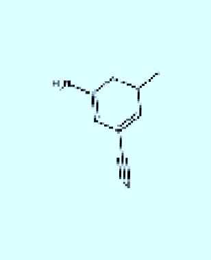 CC1C=C(C#N)C=C(N)C1